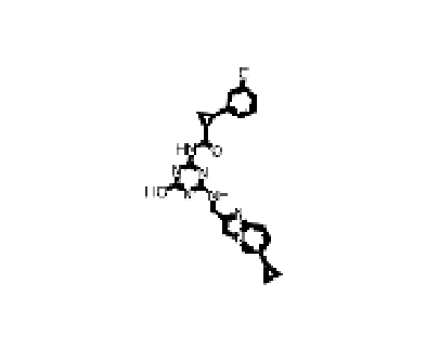 O=C(Nc1nc(O)nc(NCc2cn3cc(C4CC4)ccc3n2)n1)C1CC1c1cccc(Cl)c1